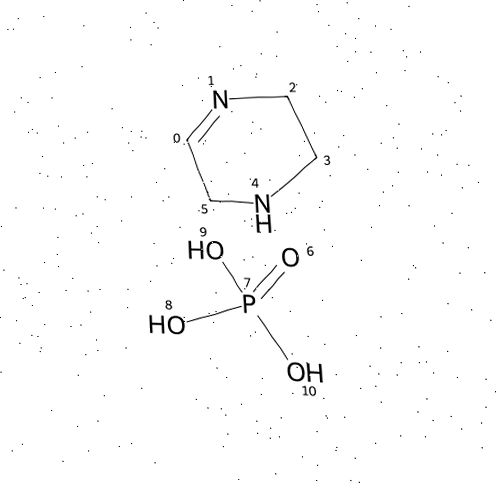 C1=NCCNC1.O=P(O)(O)O